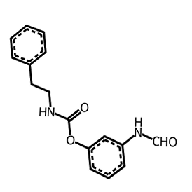 O=CNc1cccc(OC(=O)NCCc2ccccc2)c1